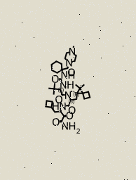 CN1CCN(C(=O)C2(NC(=O)N[C@H](C(=O)N3C[C@]4(C[C@H]3C(=O)NC(CC3CCC3)C(=O)C(N)=O)C(C)(C)C43CCC3)C(C)(C)C)CCCCC2)CC1